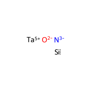 [N-3].[O-2].[Si].[Ta+5]